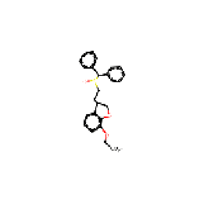 O=C(O)COc1cccc2c1OCC2CC[S+]([O-])C(c1ccccc1)c1ccccc1